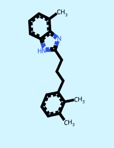 Cc1cccc(CCCc2nc3c(C)cccc3[nH]2)c1C